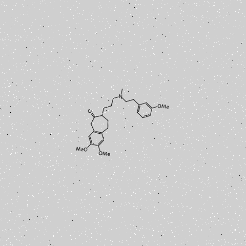 COc1cccc(CCN(C)CCCC2CCc3cc(OC)c(OC)cc3CC2=O)c1